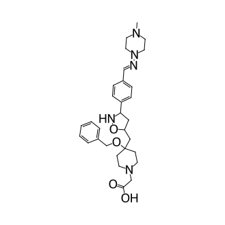 CN1CCN(N=Cc2ccc(C3CC(CC4(OCc5ccccc5)CCN(CC(=O)O)CC4)ON3)cc2)CC1